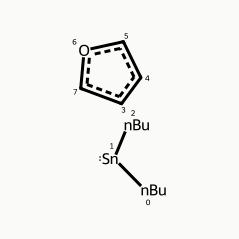 CCC[CH2][Sn][CH2]CCC.c1ccoc1